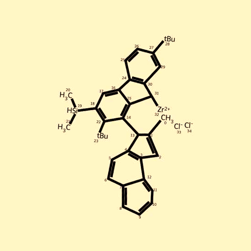 CC1=Cc2c(ccc3ccccc23)C1c1c2c(cc([SiH](C)C)c1C(C)(C)C)-c1ccc(C(C)(C)C)cc1[CH]2[Zr+2].[Cl-].[Cl-]